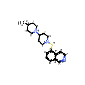 CC1CCN(C2CCN(Sc3cccc4cnccc34)CC2)CC1